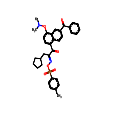 CCN(C)Oc1ccc(C(=O)/C(CC2CCCC2)=N/OS(=O)(=O)c2ccc(C)cc2)c2ccc(C(=O)c3ccccc3)cc12